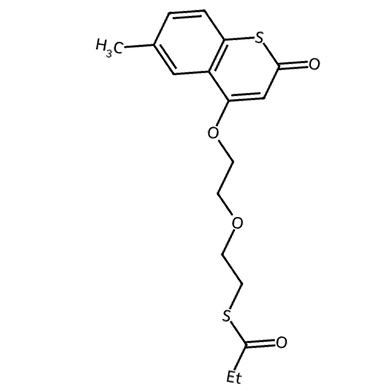 CCC(=O)SCCOCCOc1cc(=O)sc2ccc(C)cc12